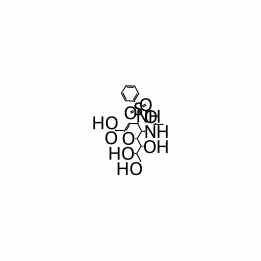 CC(=O)N[C@H]1[C@H]([C@H](O)[C@H](O)CO)OC(C(=O)O)=C[C@H]1NS(=O)(=O)c1ccccc1